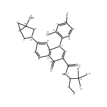 CCC(NC(=O)c1cn(-c2ncc(F)cc2Cl)c2nc(N3CC4CC4(O)C3)ccc2c1=O)C(F)(F)F